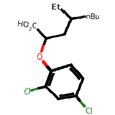 CCCCC(CC)CC(Oc1ccc(Cl)cc1Cl)C(=O)O